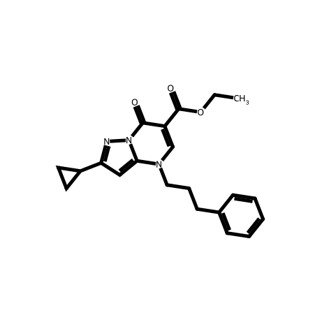 CCOC(=O)c1cn(CCCc2ccccc2)c2cc(C3CC3)nn2c1=O